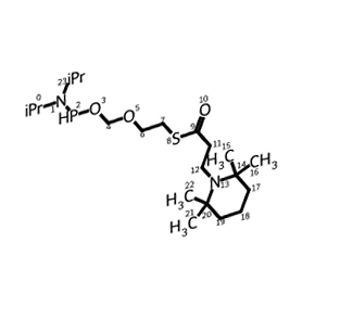 CC(C)N(POCOCCSC(=O)CCN1C(C)(C)CCCC1(C)C)C(C)C